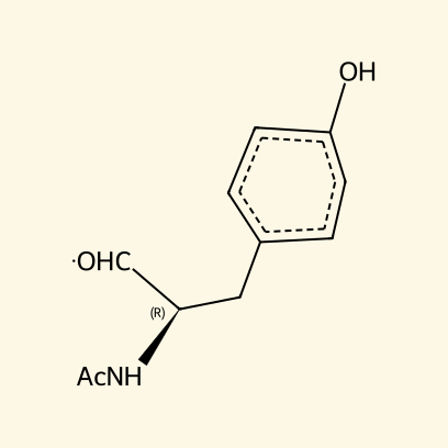 CC(=O)N[C@@H]([C]=O)Cc1ccc(O)cc1